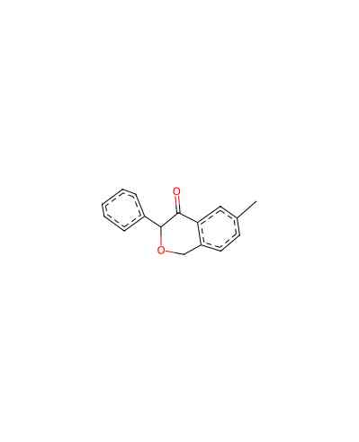 Cc1ccc2c(c1)C(=O)C(c1ccccc1)OC2